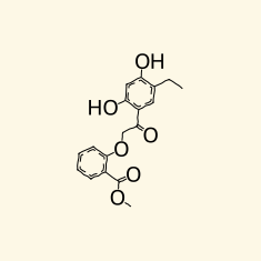 CCc1cc(C(=O)COc2ccccc2C(=O)OC)c(O)cc1O